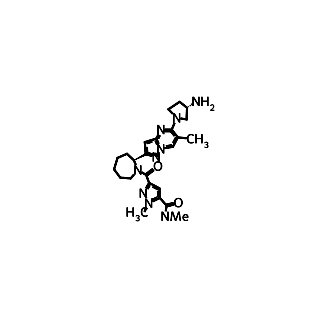 CNC(=O)c1cc(C(=O)N2CCCCC[C@H]2c2cc3nc(N4CC[C@H](N)C4)c(C)cn3n2)nn1C